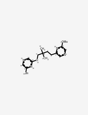 CC(C)COc1cncc(CCC(C)(C)COc2cncc(C(C)C)n2)n1